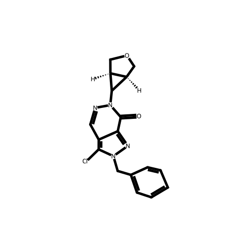 O=c1c2nn(Cc3ccccc3)c(Cl)c2cnn1C1[C@H]2COC[C@@H]12